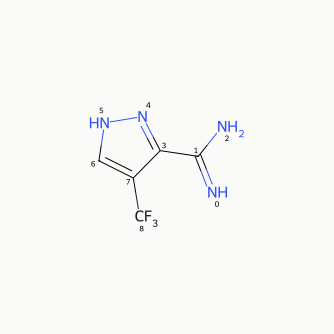 N=C(N)c1n[nH]cc1C(F)(F)F